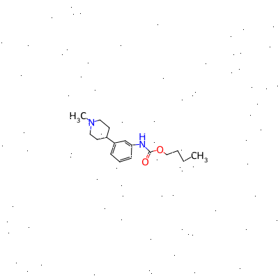 CCCCOC(=O)Nc1cccc(C2CCN(C)CC2)c1